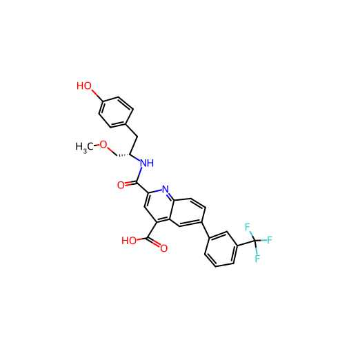 COC[C@H](Cc1ccc(O)cc1)NC(=O)c1cc(C(=O)O)c2cc(-c3cccc(C(F)(F)F)c3)ccc2n1